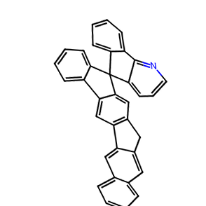 c1ccc2c(c1)-c1cc3c(cc1C21c2ccccc2-c2ncccc21)Cc1cc2ccccc2cc1-3